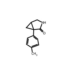 Cc1ccc(C23CC2CNC3=O)cc1